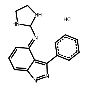 C1=CC(=NC2NCCN2)C2=C(c3ccccc3)N=NC2=C1.Cl